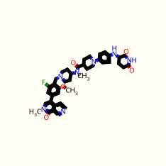 COc1cc(-c2cn(C)c(=O)c3cnccc23)cc(F)c1CN1CCC(N(C)C(=O)C2CCN(c3ccc(NC4CCC(=O)NC4=O)cc3)CC2)CC1